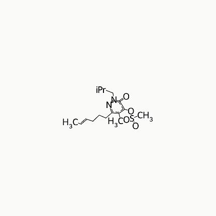 CC=CCCCc1nn(CC(C)C)c(=O)c(OS(C)(=O)=O)c1C